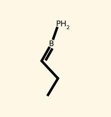 CC/C=B\P